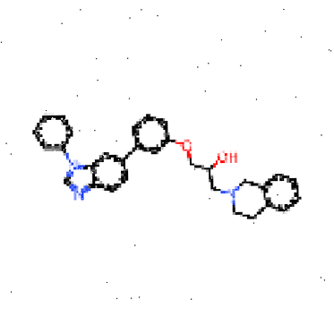 OC(COc1cccc(-c2ccc3ncn(-c4ccccc4)c3c2)c1)CN1CCc2ccccc2C1